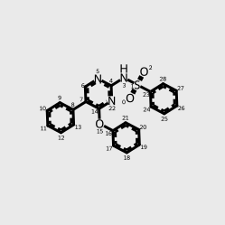 O=S(=O)(Nc1ncc(-c2ccccc2)c(Oc2ccccc2)n1)c1ccccc1